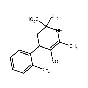 CC1=C([N+](=O)[O-])C(c2ccccc2C(F)(F)F)CC(C)(C(=O)O)N1